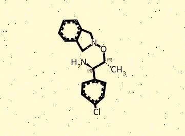 C[C@@H](ON1Cc2ccccc2C1)[C@H](N)c1ccc(Cl)cc1